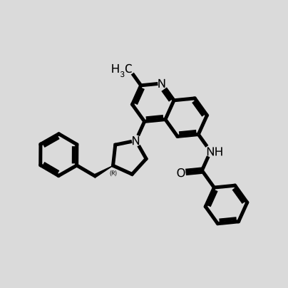 Cc1cc(N2CC[C@@H](Cc3ccccc3)C2)c2cc(NC(=O)c3ccccc3)ccc2n1